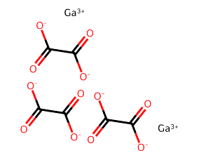 O=C([O-])C(=O)[O-].O=C([O-])C(=O)[O-].O=C([O-])C(=O)[O-].[Ga+3].[Ga+3]